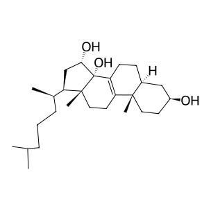 CC(C)CCC[C@@H](C)[C@H]1C[C@H](O)[C@@]2(O)C3=C(CC[C@]12C)[C@@]1(C)CC[C@H](O)C[C@@H]1CC3